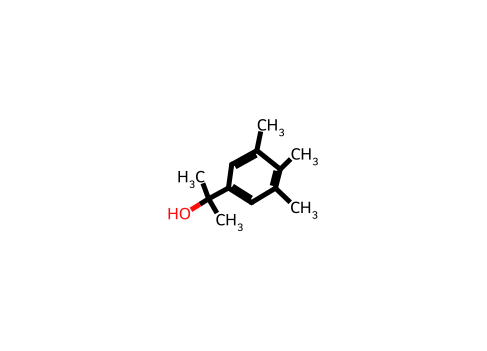 Cc1cc(C(C)(C)O)cc(C)c1C